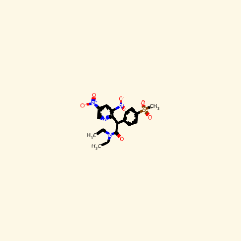 CCN(CC)C(=O)C(c1ccc(S(C)(=O)=O)cc1)c1ncc([N+](=O)[O-])cc1[N+](=O)[O-]